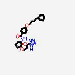 O=C(Nc1cccc2c1OC(c1nnn[nH]1)CCO2)c1ccc(OCCCCc2ccccc2)cc1